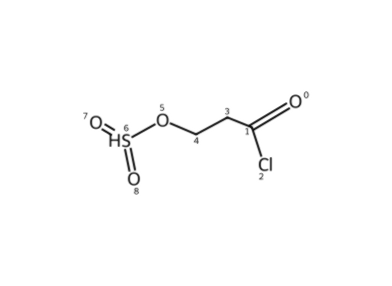 O=C(Cl)CCO[SH](=O)=O